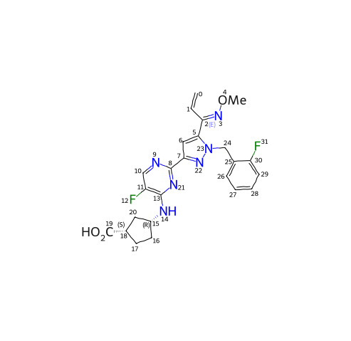 C=C/C(=N\OC)c1cc(-c2ncc(F)c(N[C@@H]3CC[C@H](C(=O)O)C3)n2)nn1Cc1ccccc1F